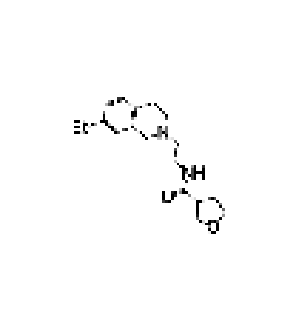 CCc1ccc2c(c1)CN(CCNC(=O)C1CCOC1)CC2